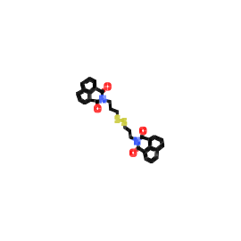 O=C1c2cccc3cccc(c23)C(=O)N1CCCSSCCCN1C(=O)c2cccc3cccc(c23)C1=O